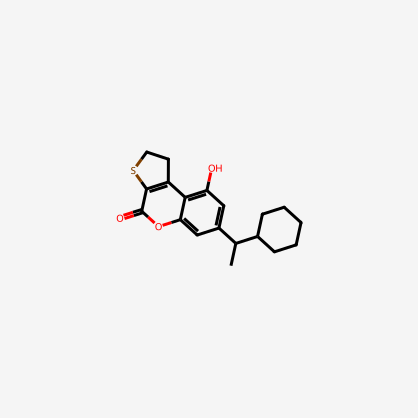 CC(c1cc(O)c2c3c(c(=O)oc2c1)SCC3)C1CCCCC1